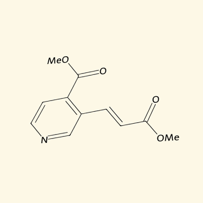 COC(=O)C=Cc1cnccc1C(=O)OC